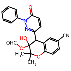 CC1(C)Oc2ccc(C#N)cc2C(c2ccc(=O)n(-c3ccccc3)n2)C1(O)OC=O